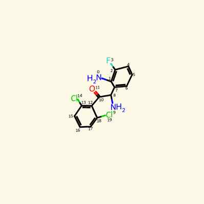 Nc1c(F)cccc1C(N)C(=O)c1c(Cl)cccc1Cl